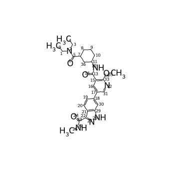 CCN(CC)C(=O)C1CCCC(NC(=O)c2cc(-c3ccc4c(C(=O)NC)n[nH]c4c3)cnc2OC)C1